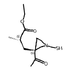 CCOC(=O)[C@@H](C)C[C@@]1(C(C)=O)CN1S